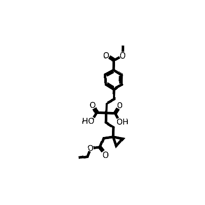 CCOC(=O)CC1(CCC(CCc2ccc(C(=O)OC)cc2)(C(=O)O)C(=O)O)CC1